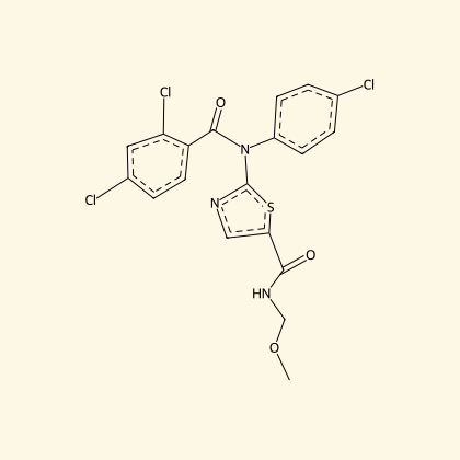 COCNC(=O)c1cnc(N(C(=O)c2ccc(Cl)cc2Cl)c2ccc(Cl)cc2)s1